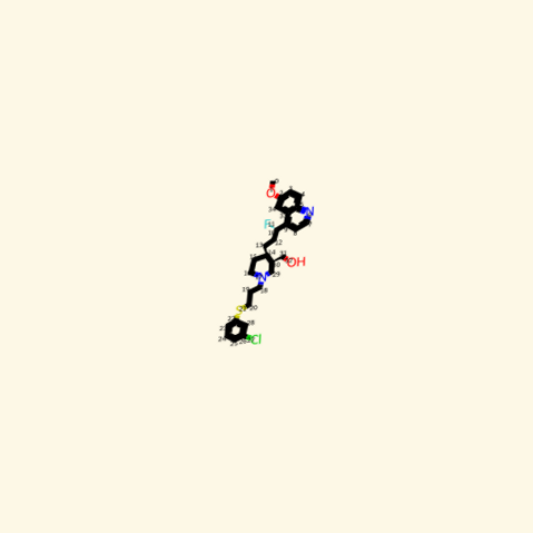 COc1ccc2nccc([C@@H](F)CC[C@@H]3CCN(CCCSc4cccc(Cl)c4)C[C@@H]3CO)c2c1